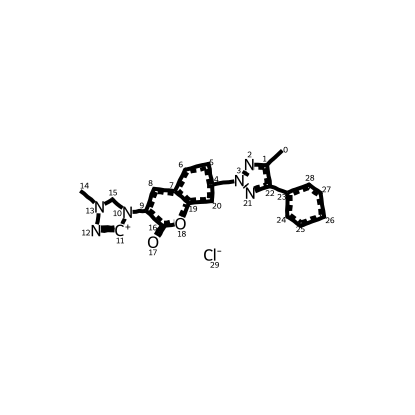 Cc1nn(-c2ccc3cc(N4[C+]=NN(C)C4)c(=O)oc3c2)nc1-c1ccccc1.[Cl-]